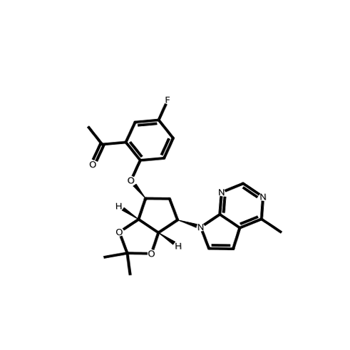 CC(=O)c1cc(F)ccc1O[C@H]1C[C@@H](n2ccc3c(C)ncnc32)[C@@H]2OC(C)(C)O[C@@H]21